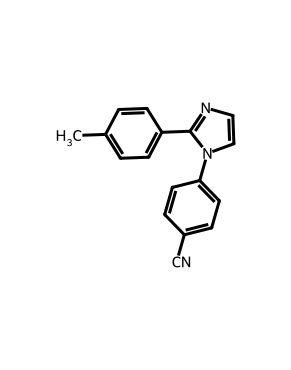 Cc1ccc(-c2nccn2-c2ccc(C#N)cc2)cc1